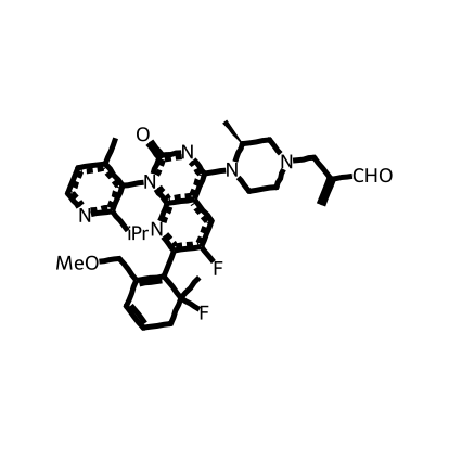 C=C(C=O)CN1CCN(c2nc(=O)n(-c3c(C)ccnc3C(C)C)c3nc(C4=C(COC)C=CCC4(C)F)c(F)cc23)[C@@H](C)C1